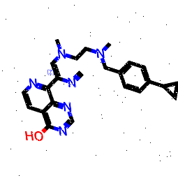 C=N/C(=C\N(C)CCN(C)Cc1ccc(C2CC2)cc1)c1nccc2c(O)ncnc12